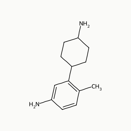 Cc1ccc(N)cc1C1CCC(N)CC1